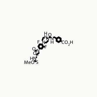 COC(=S)NC[C@H]1CN(c2cc(F)c(N3CCNN(C(=O)NCc4ccc(C(=O)O)cc4)CC3)c(F)c2)C(=O)O1